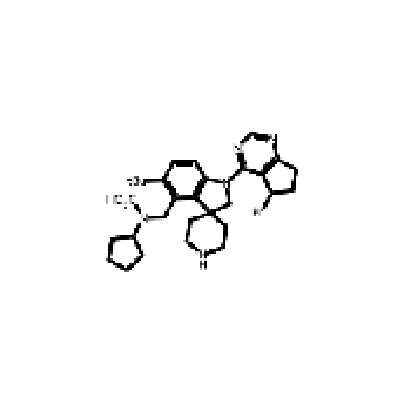 CC(C)C1CCc2ncnc(N3CC4(CCNCC4)c4c3ccc(C(C)(C)C)c4CN(C(=O)O)C3CCCC3)c21